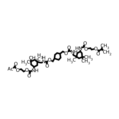 C=C(C)C(=O)OCCOC(=O)NC1CC(C)(C)CC(C)(CNC(=O)OCC2CCC(COC(=O)NCC3(C)CC(NC(=O)OCCOC(=O)C(C)=O)CC(C)(C)C3)CC2)C1